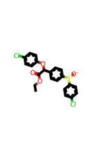 CCOC(=O)C(Oc1ccc(Cl)cc1)c1ccc([S+]([O-])c2ccc(Cl)cc2)cc1